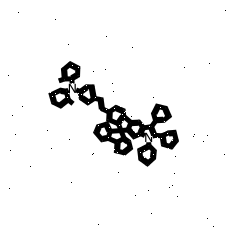 Cc1ccccc1N(c1ccc(/C=C/c2ccc3c(c2)C2(c4ccccc4-c4ccccc42)c2cc4c(cc2-3)c(-c2ccccc2)c(-c2ccccc2)n4-c2ccccc2)cc1)c1ccccc1C